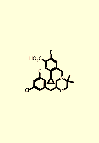 CC1(C)COC(Cc2cc(Cl)cc(Cl)c2)CN1Cc1cc(F)c(C(=O)O)cc1C1CC1